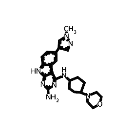 Cn1cc(-c2ccc3[nH]c4nc(N)nc(NC5CCC(N6CCOCC6)CC5)c4c3c2)cn1